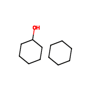 C1CCCCC1.OC1CCCCC1